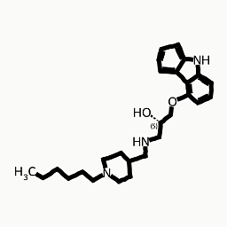 CCCCCCN1CCC(CNC[C@H](O)COc2cccc3[nH]c4ccccc4c23)CC1